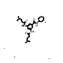 CC(C)CCC(=O)Nc1cc(NC(=O)CCC(C)C)cc(C(=O)NC2CCCCC2)c1